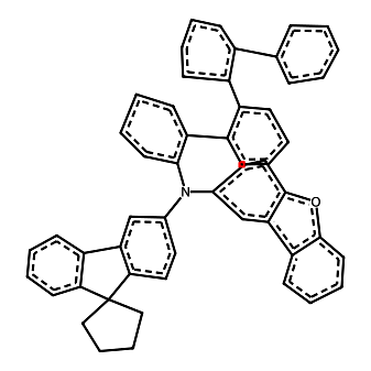 c1ccc(-c2ccccc2-c2ccccc2-c2ccccc2N(c2ccc3c(c2)-c2ccccc2C32CCCC2)c2ccc3oc4ccccc4c3c2)cc1